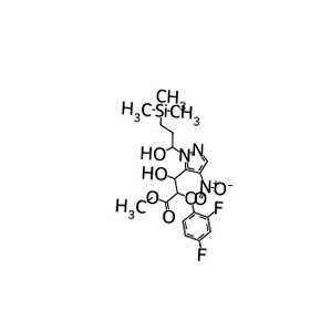 COC(=O)C(Oc1ccc(F)cc1F)C(O)c1c([N+](=O)[O-])cnn1C(O)CC[Si](C)(C)C